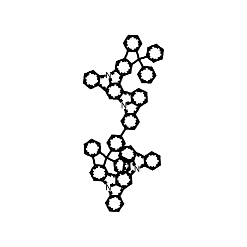 c1ccc(C2(c3ccccc3)c3ccccc3-c3cc4c(cc32)c2c3c5cccc6c7ccc(-c8ccc(C9(c%10ccccc%10)c%10ccccc%10-c%10ccc%11c(c%109)c9c%10c%12cccc%13c%14ccccc%14n(c%10cc%10c%14ccccc%14n%11c%109)c%13%12)cc8)cc7n(c3cc3c7ccccc7n4c32)c65)cc1